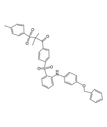 Cc1ccc(S(=O)(=O)C(C)(C)C(=O)c2ccc(S(=O)(=O)c3ccccc3Nc3ccc(OCc4ccccc4)cc3)cc2)cc1